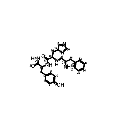 NC(=O)C(Cc1ccc(O)cc1)NC(=O)C(CC1C=NC=N1)NCC(N)Cc1ccccc1